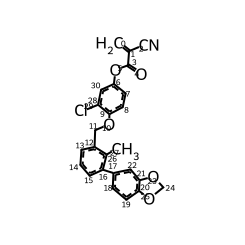 C=C(C#N)C(=O)Oc1ccc(OCc2cccc(-c3ccc4c(c3)OCO4)c2C)c(Cl)c1